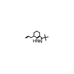 C=CCC1CCCc2c(C(C)(C)C)n[nH]c21